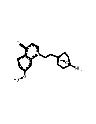 COc1ccc2c(=O)ccn(CCC34CCC(N)(CC3)CO4)c2c1